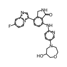 O=C1NCc2c(-c3cnc4cc(F)ccn34)ccc(Nc3ccc(N4CCOCC(O)C4)cn3)c21